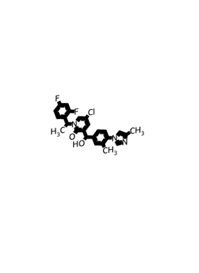 Cc1cn(-c2ccc(C(O)c3cc(Cl)cn(C(C)c4ccc(F)cc4F)c3=O)cc2C)cn1